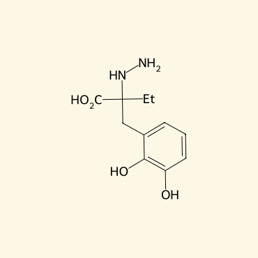 CCC(Cc1cccc(O)c1O)(NN)C(=O)O